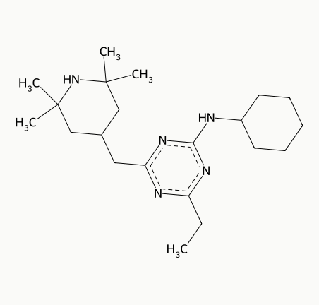 CCc1nc(CC2CC(C)(C)NC(C)(C)C2)nc(NC2CCCCC2)n1